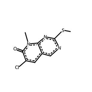 CSc1ncc2cc(Cl)c(=O)n(C)c2n1